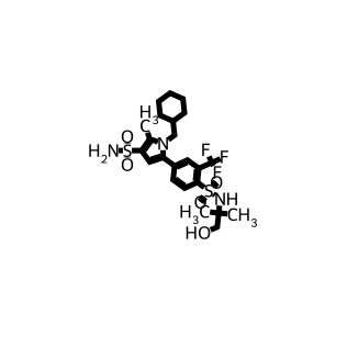 Cc1c(S(N)(=O)=O)cc(-c2ccc(S(=O)(=O)NC(C)(C)CO)c(C(F)(F)F)c2)n1CC1CCCCC1